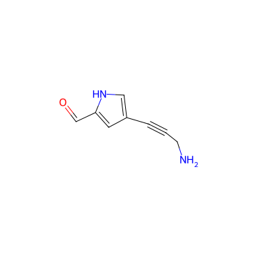 NCC#Cc1c[nH]c(C=O)c1